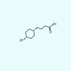 CC(C)C(=O)CCC[C@H]1CC[C@@H](C(C)C)CC1